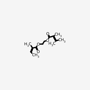 CC=C(C)C(=O)OCCOC(=O)C(C)=C(C)C